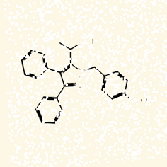 COc1ccc(Cn2nc(-c3ccccc3)c(-c3ccccc3)c2C(C)O)cc1